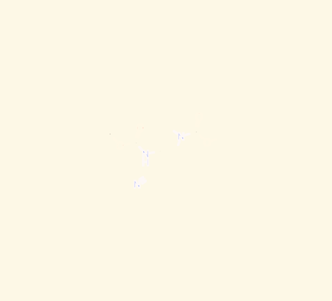 CCOC(=O)N1CCC(CC#N)(NC(=O)OC(C)(C)C)C1